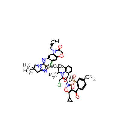 C#CCN1C(=O)COc2cc(F)c(/N=c3\snc4n3CC(C)(C)C4)cc21.CCc1cccc(C)c1N(C(=O)CCl)C(C)COC.CS(=O)(=O)c1cc(C(F)(F)F)ccc1C(=O)c1cnoc1C1CC1